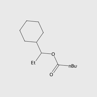 CCC[CH]C(=O)OC(CC)C1CCCCC1